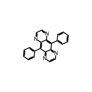 c1ccc(-c2c3nccnc3c(-c3ccccc3)c3nccnc23)cc1